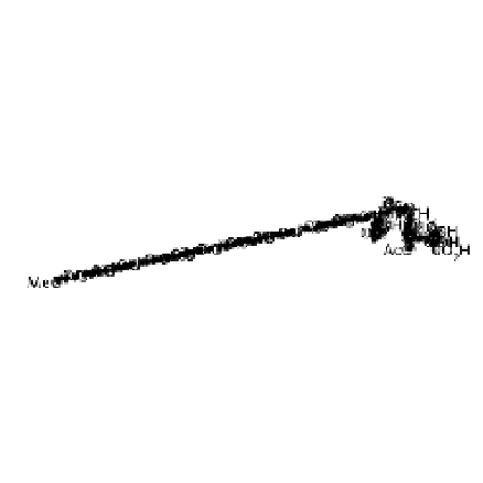 COCCOCCOCCOCCOCCOCCOCCOCCOCCOCCOCCOCCOCCOCCOCCOCCOCCOCCOCCOCCOCCOCCOCCOCCN(CCC(=O)N[C@H](C(=O)N[C@@H](C)C(=O)Nc1ccc(COC(C)=O)c(CC[C@@H]2O[C@H](C(=O)O)[C@@H](O)[C@H](O)[C@H]2O)c1)C(C)C)C(=O)CN1C(=O)C=CC1=O